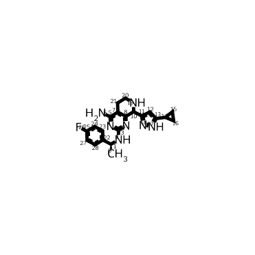 C[C@H](Nc1nc(N)c2c(n1)C(c1cc(C3CC3)[nH]n1)NCC2)c1ccc(F)cc1